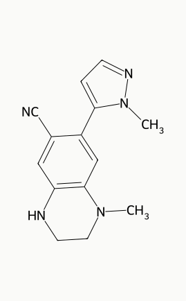 CN1CCNc2cc(C#N)c(-c3ccnn3C)cc21